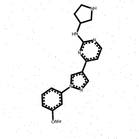 COc1cccc(-n2cc(-c3ccnc(NC4CCNC4)n3)cn2)c1